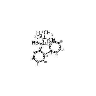 B=P1(C(C)(C)C)c2ccccc2-c2ccccc21